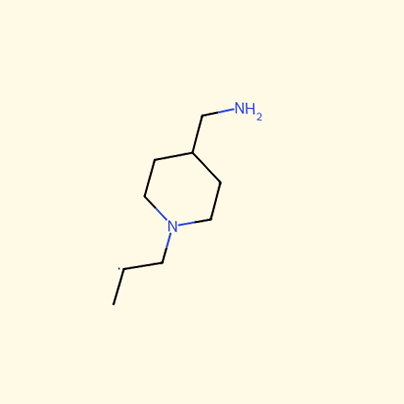 C[CH]CN1CCC(CN)CC1